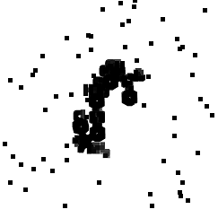 Cc1c(N)c(-c2cccc(N3CCN(c4ccc(NS(=O)(=O)c5ccc(N[C@H](CCN(C)C)CSc6ccccc6)c(S(=O)(=O)C(F)(F)F)c5)cc4)CC3)c2)c(-c2ccc(Cl)cc2)n1C